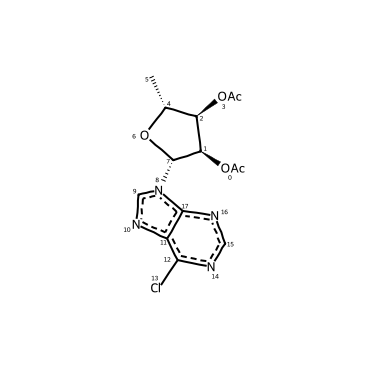 CC(=O)O[C@@H]1[C@H](OC(C)=O)[C@@H](C)O[C@H]1n1cnc2c(Cl)ncnc21